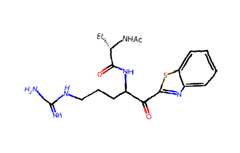 CC[C@H](NC(C)=O)C(=O)NC(CCCNC(=N)N)C(=O)c1nc2ccccc2s1